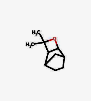 CC1(C)OC2C3CCC(C3)C21